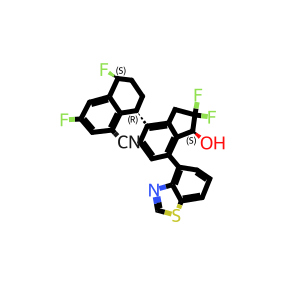 N#Cc1cc(F)cc2c1[C@@H](c1ccc(-c3cccc4scnc34)c3c1CC(F)(F)[C@H]3O)CC[C@@H]2F